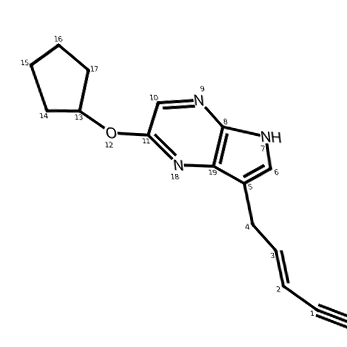 N#CC=CCc1c[nH]c2ncc(OC3CCCC3)nc12